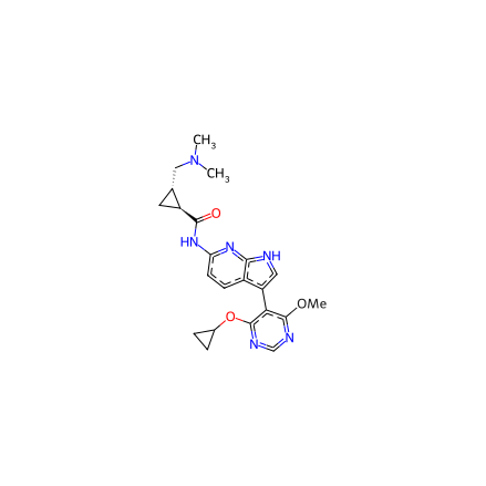 COc1ncnc(OC2CC2)c1-c1c[nH]c2nc(NC(=O)[C@H]3C[C@@H]3CN(C)C)ccc12